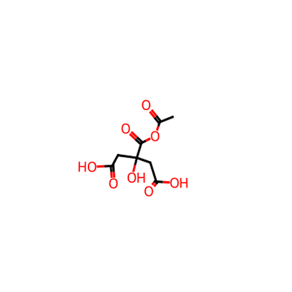 CC(=O)OC(=O)C(O)(CC(=O)O)CC(=O)O